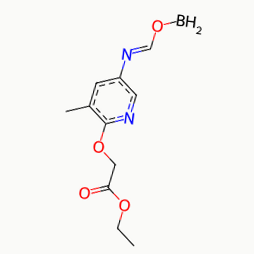 BOC=Nc1cnc(OCC(=O)OCC)c(C)c1